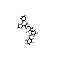 O=C(Nc1nc(C2CCCN2c2cccnn2)cs1)c1cccn1Cc1ccncc1